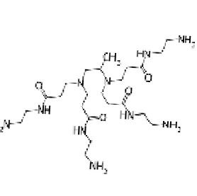 CC(CN(CCC(=O)NCCN)CCC(=O)NCCN)N(CCC(=O)NCCN)CCC(=O)NCCN